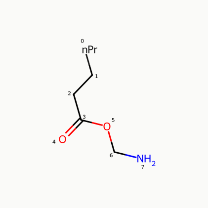 CCCCCC(=O)OCN